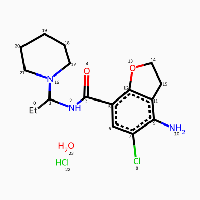 CCC(NC(=O)c1cc(Cl)c(N)c2c1OCC2)N1CCCCC1.Cl.O